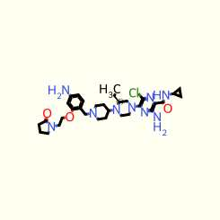 CC[C@H]1CN(c2nc(N)c(C(=O)NC3CC3)nc2Cl)CCN1C1CCN(Cc2ccc(N)cc2OCCN2CCCC2=O)CC1